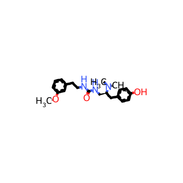 COc1cccc(CCNC(=O)NC[C@H](Cc2ccc(O)cc2)N(C)C)c1